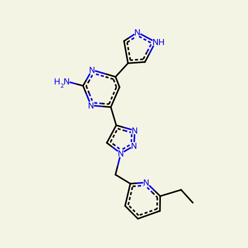 CCc1cccc(Cn2cc(-c3cc(-c4cn[nH]c4)nc(N)n3)nn2)n1